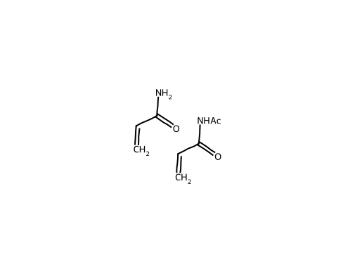 C=CC(=O)NC(C)=O.C=CC(N)=O